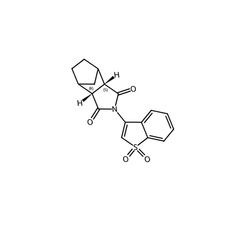 O=C1[C@@H]2C3CCC(C3)[C@@H]2C(=O)N1C1=CS(=O)(=O)c2ccccc21